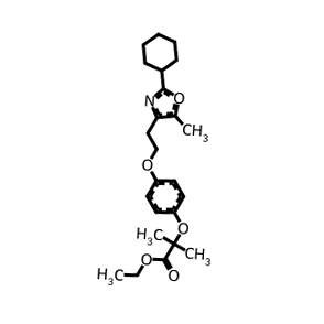 CCOC(=O)C(C)(C)Oc1ccc(OCCc2nc(C3CCCCC3)oc2C)cc1